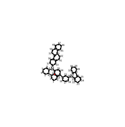 c1ccc(-c2ccccc2N(c2ccc(-c3cccc(-n4c5ccccc5c5ccccc54)c3)cc2)c2ccc3c(ccc4c5ccccc5ccc34)c2)cc1